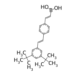 CC(C)(C)c1cc(/C=C/c2ccc(/C=C/B(O)O)cc2)cc(C(C)(C)C)c1